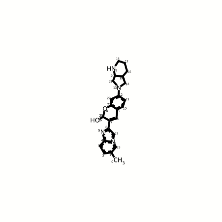 Cc1ccc2nc(C3=Cc4ccc(N5CC6CCCNC6C5)cc4OC3O)cn2c1